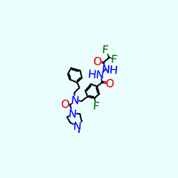 CN1CCN(C(=O)N(CCc2ccccc2)Cc2ccc(C(=O)NNC(=O)C(F)F)cc2F)CC1